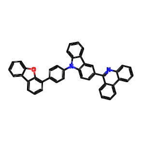 c1ccc2c(c1)nc(-c1ccc3c(c1)c1ccccc1n3-c1ccc(-c3cccc4c3oc3ccccc34)cc1)c1ccccc12